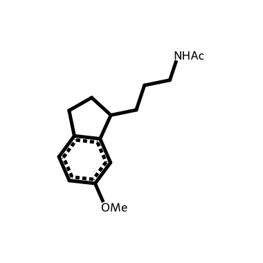 COc1ccc2c(c1)C(CCCNC(C)=O)CC2